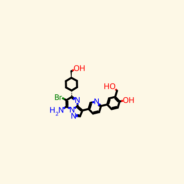 Nc1c(Br)c([C@H]2CC[C@H](CO)CC2)nc2c(-c3ccc(-c4ccc(O)c(CO)c4)nc3)cnn12